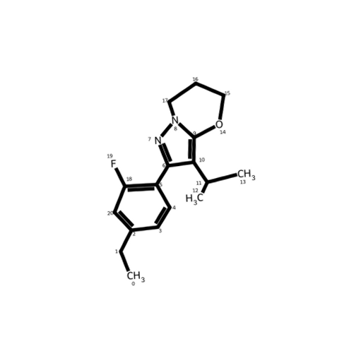 CCc1ccc(-c2nn3c(c2C(C)C)OCCC3)c(F)c1